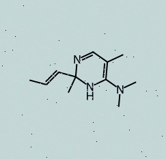 C/C=C/C1(C)N=CC(C)=C(N(C)C)N1